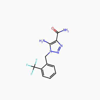 NC(=O)c1nnn(Cc2ccccc2C(F)(F)F)c1N